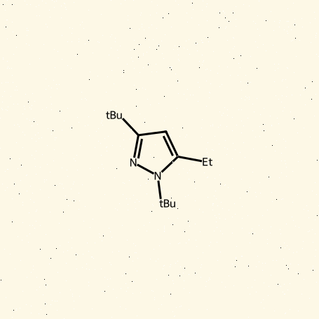 CCc1cc(C(C)(C)C)nn1C(C)(C)C